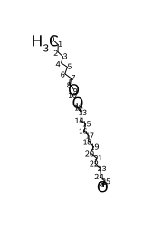 CCCCCCCC=COCOC=CCCCCCCCCCCCC=O